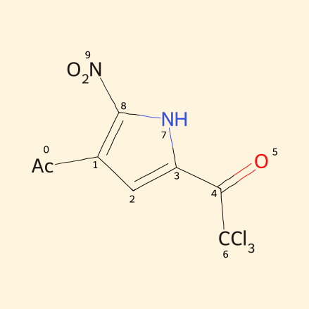 CC(=O)c1cc(C(=O)C(Cl)(Cl)Cl)[nH]c1[N+](=O)[O-]